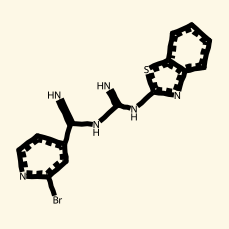 N=C(NC(=N)c1ccnc(Br)c1)Nc1nc2ccccc2s1